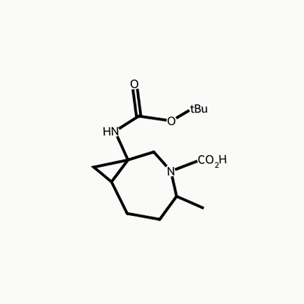 CC1CCC2CC2(NC(=O)OC(C)(C)C)CN1C(=O)O